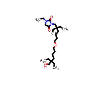 CCN1CC(=O)N(CC(CC)(CC)CCCCOCCCCC(CC)(CC)CO)C1=O